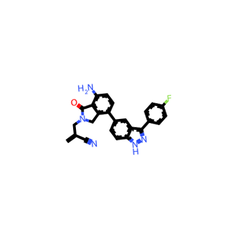 C=C(C#N)CN1Cc2c(-c3ccc4[nH]nc(-c5ccc(F)cc5)c4c3)ccc(N)c2C1=O